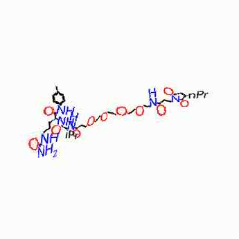 CCCC1CC(=O)N(CCC(=O)NCCOCCOCCOCCOCCC(=O)N[C@H](C(=O)N[C@@H](CCCNC(N)=O)C(=O)Nc2ccc(C)cc2)C(C)C)C1=O